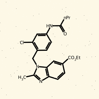 CCCC(=O)Nc1ccc(Cn2c(C)nc3ccc(C(=O)OCC)cc32)c(Cl)c1